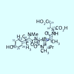 CNC(C(=O)N[C@H](C(=O)N(C)[C@H](/C=C(\C)C(=O)N[C@H](CCC(=O)O)C(=O)O)C(C)C)C(C)(C)C)C(C)(C)c1ccc(O)cc1